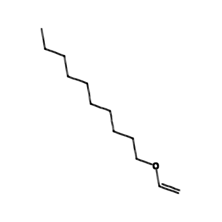 C=COCCCCCCCCCC